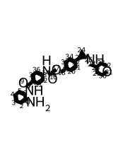 Nc1ccccc1NC(=O)c1ccc(NC(=O)OCc2ccc(C3CC3NCC3CCOCC3)cc2)cc1